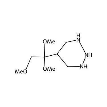 COCC(OC)(OC)C1CNNNC1